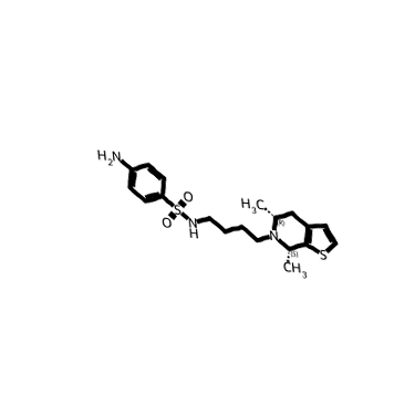 C[C@@H]1Cc2ccsc2[C@H](C)N1CCCCNS(=O)(=O)c1ccc(N)cc1